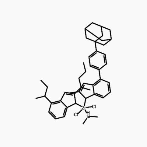 CCCC(C)C1=Cc2c(C(C)CC)cccc2[CH]1[Zr]([Cl])([Cl])([CH]1C(C)=Cc2c(-c3ccc(C45CC6CC(CC(C6)C4)C5)cc3)cccc21)[SiH](C)C